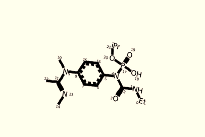 CCNC(=O)N(c1ccc(N(C)C(C)=NC)cc1)P(=O)(O)OC(C)C